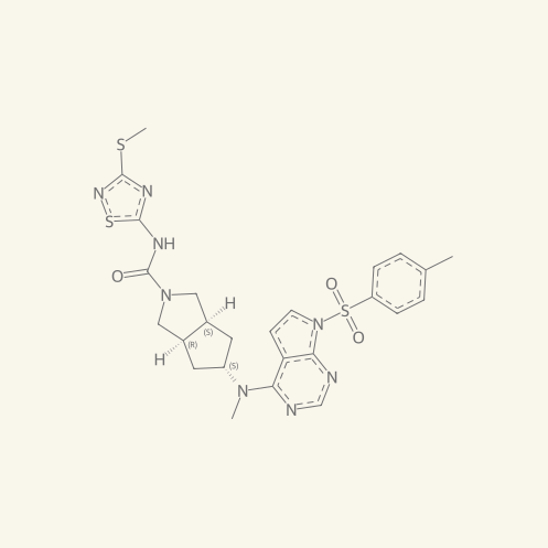 CSc1nsc(NC(=O)N2C[C@H]3C[C@H](N(C)c4ncnc5c4ccn5S(=O)(=O)c4ccc(C)cc4)C[C@H]3C2)n1